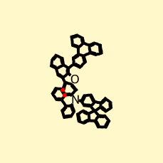 c1ccc(-c2ccccc2N(c2ccc3c(c2)C2(c4ccccc4-c4ccccc42)c2ccccc2-3)c2ccc3c(c2)oc2c(-c4ccc5c6ccccc6c6ccccc6c5c4)c4ccccc4cc23)cc1